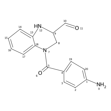 Nc1ccc(C(=O)N2CC(C=O)Nc3ccccc32)cc1